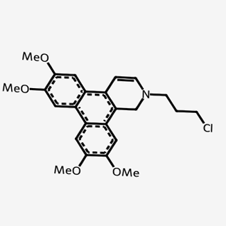 COc1cc2c3c(c4cc(OC)c(OC)cc4c2cc1OC)CN(CCCCl)C=C3